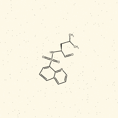 CC(C)C[C@@H]([C]=O)NS(=O)(=O)c1cccc2cccnc12